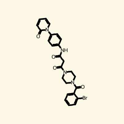 O=C(CC(=O)N1CCN(C(=O)c2ccccc2Br)CC1)Nc1ccc(-n2ccccc2=O)cc1